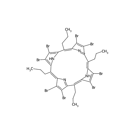 CCCc1c2nc(c(CCC)c3[nH]c(c(Br)c3Br)c(CCC)c3nc(c(CCC)c4[nH]c1c(Br)c4Br)C(Br)=C3Br)C(Br)=C2Br